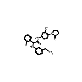 NCc1cccc(NC(C(=O)Nc2ccc(N3CCCC3=O)c(Cl)c2)c2ccccc2F)c1